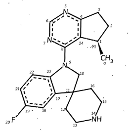 C[C@@H]1CCc2ncnc(N3CC4(CCNCC4)c4cc(F)ccc43)c21